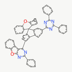 c1ccc(-c2nc(-c3ccccc3)nc(-c3ccc4c(c3)C3(c5ccccc5Oc5ccccc53)c3ccc(-c5nc(-c6ccccc6)nc6oc7ccccc7c56)cc3-4)n2)cc1